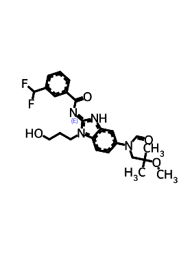 COC(C)(C)CN(C=O)c1ccc2c(c1)[nH]/c(=N\C(=O)c1cccc(C(F)F)c1)n2CCCO